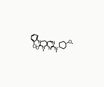 CO[C@H]1CC[C@H](N(C)c2ncc3c(n2)N(C)C(=O)N(c2ccccc2Cl)C3)CC1